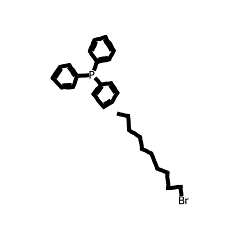 CCCCCCCCCCBr.c1ccc(P(c2ccccc2)c2ccccc2)cc1